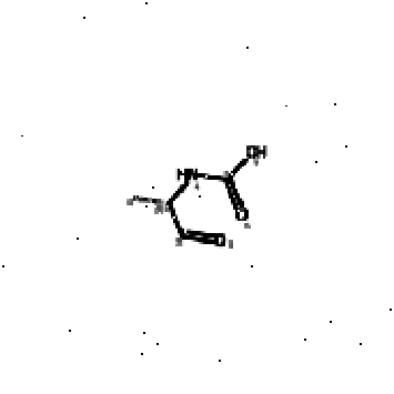 C[C@@H](C=O)NC(=O)O